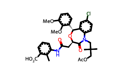 COc1cccc([C@H]2O[C@H](CC(=O)Nc3cccc(C(=O)O)c3C)C(=O)N(CC(C)(C)COC(C)=O)c3ccc(Cl)cc32)c1OC